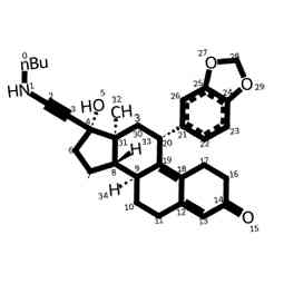 CCCCNC#C[C@]1(O)CC[C@H]2[C@@H]3CCC4=CC(=O)CCC4=C3[C@@H](c3ccc4c(c3)OCO4)C[C@@]21C